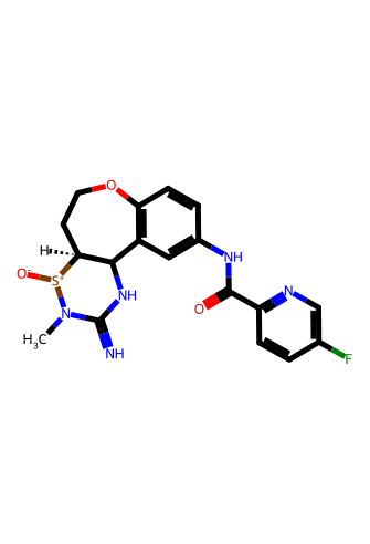 CN1C(=N)NC2c3cc(NC(=O)c4ccc(F)cn4)ccc3OCC[C@@H]2[S+]1[O-]